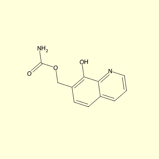 NC(=O)OCc1ccc2cccnc2c1O